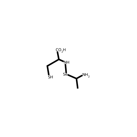 CC(N)[Se]NC(CS)C(=O)O